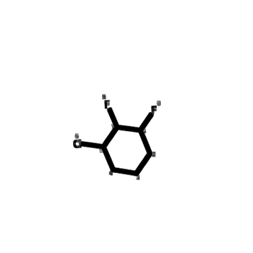 FC1CCCC(Cl)C1F